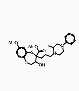 COC(=O)C1(CCCN2CCN(c3ccccc3)CC2I)Sc2cc(OC)ccc2OCC1O